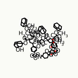 CCC(CC(C)(CC(C)(CC(C)(C)C(=O)OC1(C)C2CC3CC(C2)CC1C3)C(=O)OC1CCOC1=O)C(=O)OC12CC3CC(CC(O)(C3)C1)C2)c1ccc(S(=O)(=O)ON=C2CCC(=NOS(=O)(=O)c3ccc(C(CC)CC(C)(CC(C)(CC(C)(C)C(=O)OC4(C)C5CC6CC(C5)CC4C6)C(=O)OC4CCOC4=O)C(=O)OC45CC6CC(CC(O)(C6)C4)C5)cc3)CC2)cc1